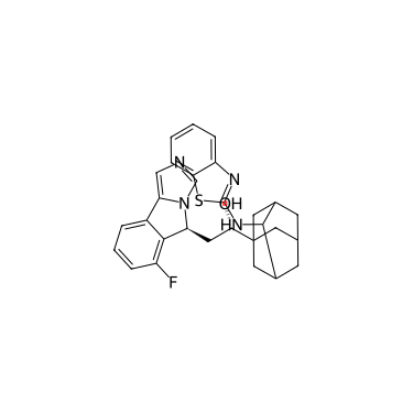 O[C@@H](C[C@H]1c2c(F)cccc2-c2cncn21)C12CC3CC(C1)C(Nc1nc4ccccc4s1)C(C3)C2